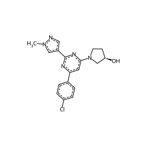 Cn1cc(-c2nc(-c3ccc(Cl)cc3)cc(N3CC[C@@H](O)C3)n2)cn1